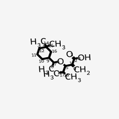 C=C(C(=O)O)C(OC(C)C1CCCC(C)(C)C1)C(C)C